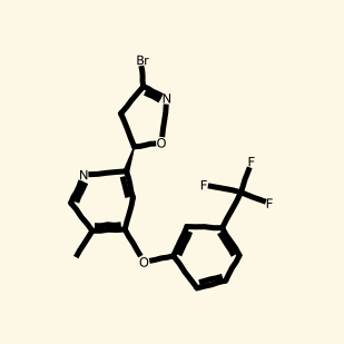 Cc1cnc([C@H]2CC(Br)=NO2)cc1Oc1cccc(C(F)(F)F)c1